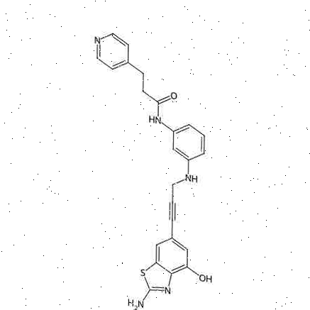 Nc1nc2c(O)cc(C#CCNc3cccc(NC(=O)CCc4ccncc4)c3)cc2s1